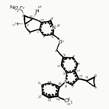 O=C(O)[C@H]1[C@@H]2Cc3cc(OCc4ccc5c(C6CC6)cn(-c6ccccc6C(F)(F)F)c5c4)ncc3[C@@H]21